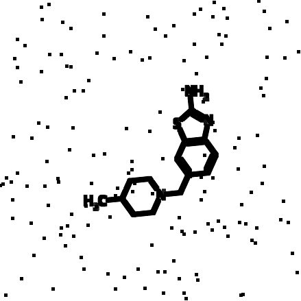 CC1CCN(Cc2ccc3nc(N)sc3c2)CC1